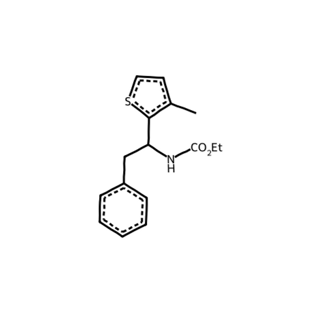 CCOC(=O)NC(Cc1ccccc1)c1sccc1C